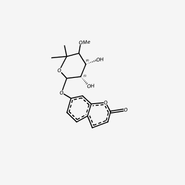 COC1[C@H](O)[C@H](O)C(Oc2ccc3ccc(=O)oc3c2)OC1(C)C